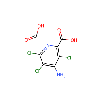 Nc1c(Cl)c(Cl)nc(C(=O)O)c1Cl.O=CO